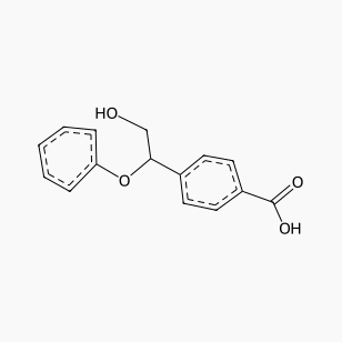 O=C(O)c1ccc(C(CO)Oc2ccccc2)cc1